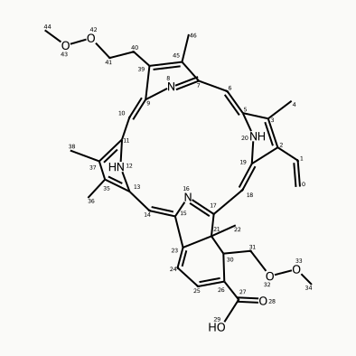 C=Cc1c(C)c2cc3nc(cc4[nH]c(cc5nc(cc1[nH]2)C1(C)C5=CC=C(C(=O)O)C1COOC)c(C)c4C)C(CCOOC)=C3C